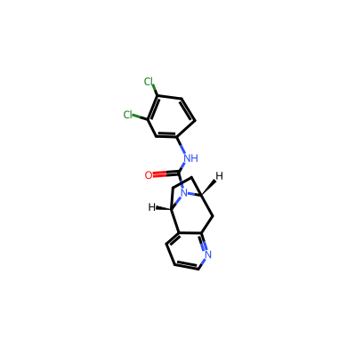 O=C(Nc1ccc(Cl)c(Cl)c1)N1[C@@H]2CC[C@H]1c1cccnc1C2